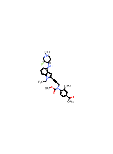 COC(=O)c1ccc(N(CC#Cc2cc3c(N[C@@H]4CCN(C(=O)O)C[C@@H]4F)cccc3n2CC(F)(F)F)C(=O)OC(C)(C)C)c(OC)c1